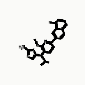 COc1nc(-c2ccc3cccc(F)c3c2)ccc1C(c1cnc(N)s1)C(C)C